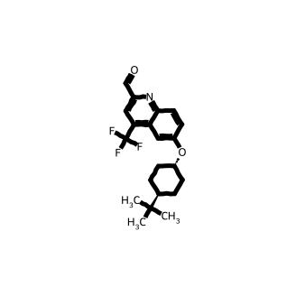 CC(C)(C)[C@H]1CC[C@H](Oc2ccc3nc(C=O)cc(C(F)(F)F)c3c2)CC1